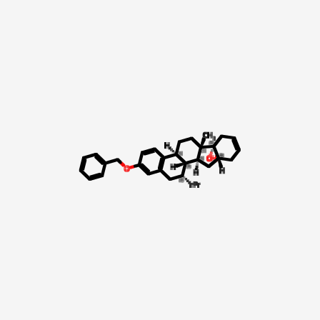 CCC[C@@H]1Cc2cc(OCc3ccccc3)ccc2[C@H]2CC[C@@]3(C)[C@@H](C[C@H]4CC=CC[C@@]43O)[C@H]12